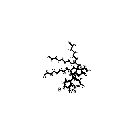 CCCCCCCCC(CCCCCC)CC1(CC(CCCCCC)CCCCCCCC)c2ccsc2-c2sc(-c3ncc(Br)c4nsnc34)cc21